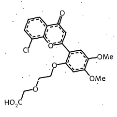 COc1cc(OCCOCC(=O)O)c(-c2cc(=O)c3cccc(Cl)c3o2)cc1OC